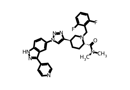 CN(C)C(=O)[C@@H]1CC[C@@H](c2cn(-c3ccc4[nH]nc(-c5ccncc5)c4c3)nn2)CN1Cc1c(F)cccc1F